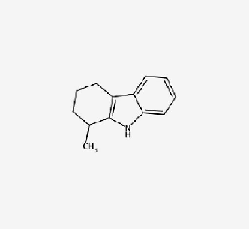 CC1CCCc2c1[nH]c1ccccc21